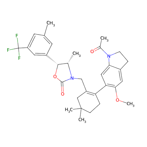 COc1cc2c(cc1C1=C(CN3C(=O)O[C@H](c4cc(C)cc(C(F)(F)F)c4)[C@@H]3C)CC(C)(C)CC1)N(C(C)=O)CC2